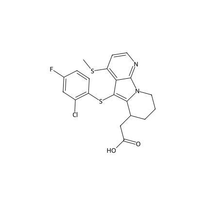 CSc1ccnc2c1c(Sc1ccc(F)cc1Cl)c1n2CCCC1CC(=O)O